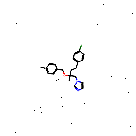 Cc1ccc(COC(C)(CCc2ccc(Cl)cc2)Cn2ccnc2)cc1